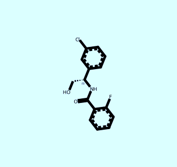 O=C(N[C@H](CO)c1cccc(Cl)c1)c1cc[c]cc1F